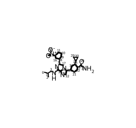 CC(C)CNc1nc(-c2cccc([N+](=O)[O-])c2)cn2c(-c3ccc(C(N)=O)c(C4CC4)c3)cnc12